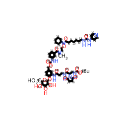 CN(CCON(C(=O)CCCCCCNC(=O)Nc1ccncc1)C1CCCCC1)C(=O)c1cccc(NC(=O)OCc2ccc(O[C@@H]3O[C@H](C(=O)O)[C@@H](O)[C@H](O)[C@H]3O)c(NC(=O)CCNC(=O)C(CNC(=O)OC(C)(C)C)N3C(=O)C=CC3=O)c2)c1